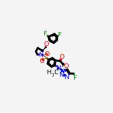 C[N+]1(n2cc(CF)nn2)C(=O)C(=O)c2cc(S(=O)(=O)N3CCC[C@H]3COc3ccc(F)cc3F)ccc21